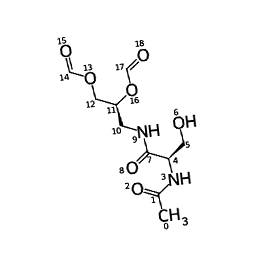 CC(=O)N[C@H](CO)C(=O)NC[C@@H](COC=O)OC=O